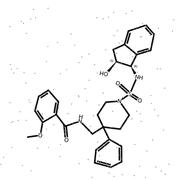 COc1ccccc1C(=O)NCC1(c2ccccc2)CCN(S(=O)(=O)N[C@@H]2c3ccccc3C[C@@H]2O)CC1